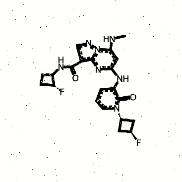 CNc1cc(Nc2cccn([C@H]3C[C@H](F)C3)c2=O)nc2c(C(=O)NC3CC[C@H]3F)cnn12